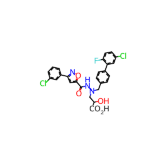 O=C(NN(Cc1ccc(-c2cc(Cl)ccc2F)cc1)CC(O)C(=O)O)c1cc(-c2cccc(Cl)c2)no1